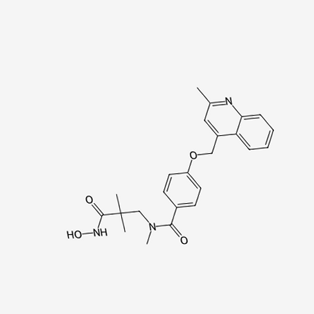 Cc1cc(COc2ccc(C(=O)N(C)CC(C)(C)C(=O)NO)cc2)c2ccccc2n1